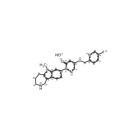 Cl.Cn1c2c(c3ccc(-n4ncc(OCc5ccc(F)cn5)cc4=O)cc31)CNCCC2